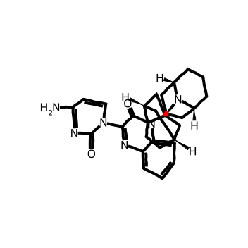 Nc1ccn(-c2nc3ccccc3n([C@H]3C[C@H]4CCC[C@@H](C3)N4[C@@]34C[C@@H]5CCC3[C@@H](C5)C4)c2=O)c(=O)n1